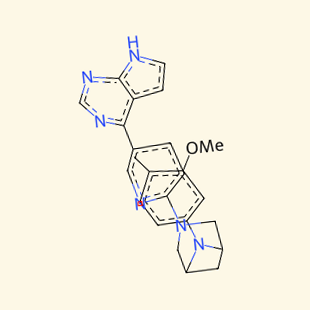 COc1cc(N2C3CC2CN(c2ccc(-c4ncnc5[nH]ccc45)cn2)C3)ccc1C